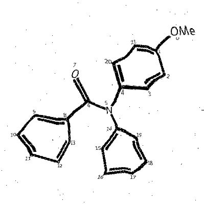 COc1ccc(N(C(=O)c2ccccc2)c2ccccc2)cc1